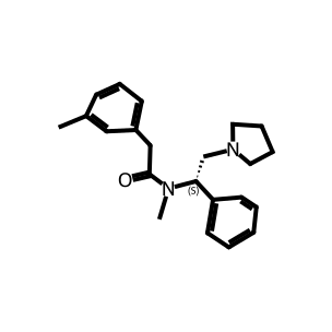 Cc1cccc(CC(=O)N(C)[C@H](CN2CCCC2)c2ccccc2)c1